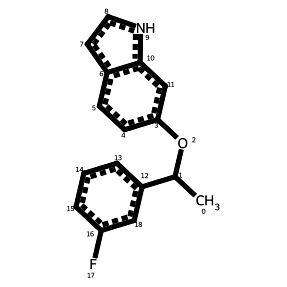 CC(Oc1ccc2cc[nH]c2c1)c1cccc(F)c1